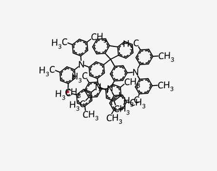 Cc1cc(C)cc(N(c2cc(C)cc(C)c2)c2cc(N(c3cc(C)cc(C)c3)c3cc(C)cc(C)c3)cc(C3(c4cc(N(c5cc(C)cc(C)c5)c5cc(C)cc(C)c5)cc(N(c5cc(C)cc(C)c5)c5cc(C)cc(C)c5)c4)c4ccccc4-c4ccccc43)c2)c1